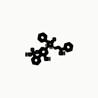 O=C1[C@H](CC[C@H](O)c2ccccc2)[C@@H](c2ccc(-c3ccccc3P(=O)(O)O)c(O)c2)N1c1ccccc1